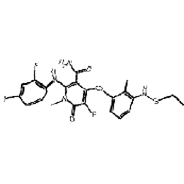 CCSNc1cccc(Oc2c(C(N)=O)c(Nc3ccc(I)cc3F)n(C)c(=O)c2F)c1C